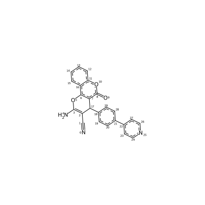 N#CC1=C(N)Oc2c(c(=O)oc3ccccc23)C1c1ccc(-c2ccncc2)cc1